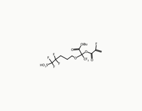 C=C(F)C(=O)OC(OCCCC(F)(F)C(F)(F)S(=O)(=O)O)(C(=O)OCC(C)C)C(F)(F)F